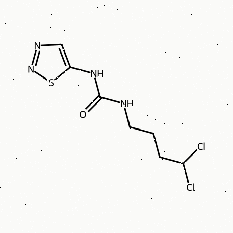 O=C(NCCCC(Cl)Cl)Nc1cnns1